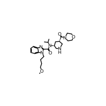 COCCCCn1c(C(=O)N(C(C)C)[C@@H]2CNC[C@H](C(=O)N3CCOCC3)C2)nc2ccccc21